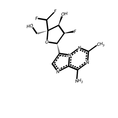 Cc1nc(N)c2ncc([C@@H]3O[C@@](CO)(C(F)F)[C@@H](O)[C@H]3F)n2n1